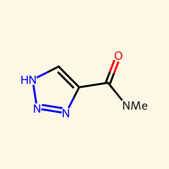 CNC(=O)c1c[nH]nn1